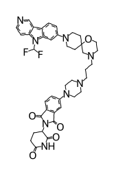 O=C1CCC(N2C(=O)c3ccc(N4CCN(CCCN5CCOC6(CCN(c7ccc8c9cnccc9n(C(F)F)c8c7)CC6)C5)CC4)cc3C2=O)C(=O)N1